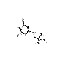 CC(C)(C)CNc1cc(Cl)nc(Cl)c1